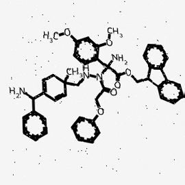 COc1ccc(C(N)(C(=O)OCC2c3ccccc3-c3ccccc32)N(NCC2(C)C=CC(C(N)c3ccccc3)=CC2)C(=O)COc2ccccc2)c(OC)c1